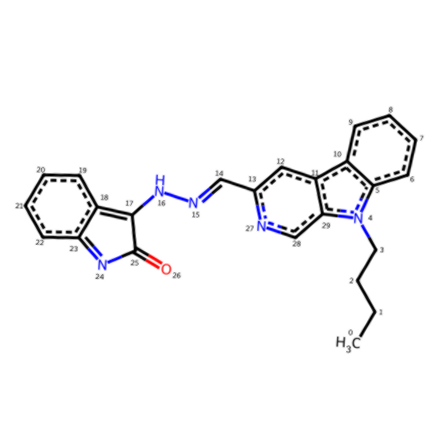 CCCCn1c2ccccc2c2cc(/C=N/NC3=c4ccccc4=NC3=O)ncc21